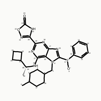 CC1CCC(Cn2c([S+]([O-])c3ccccc3)nc3nc(-c4noc(=O)[nH]4)nc(N[C@H](C)C4CCC4)c32)CC1